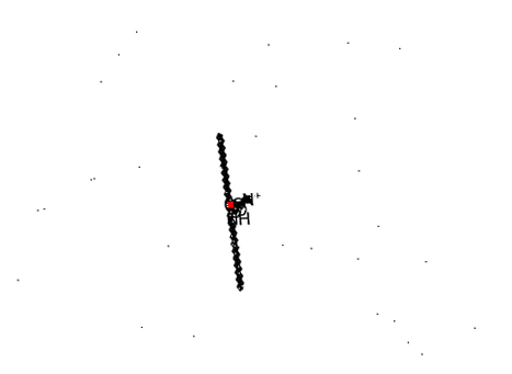 CCCCCCCCCCCCCCCCCCCCNCC(COCCCCCCCCCCCCCCCCCCCC)OP(=O)([O-])OCC[N+](C)(C)C